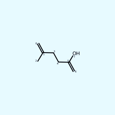 C=C(C)CCC(=C)O